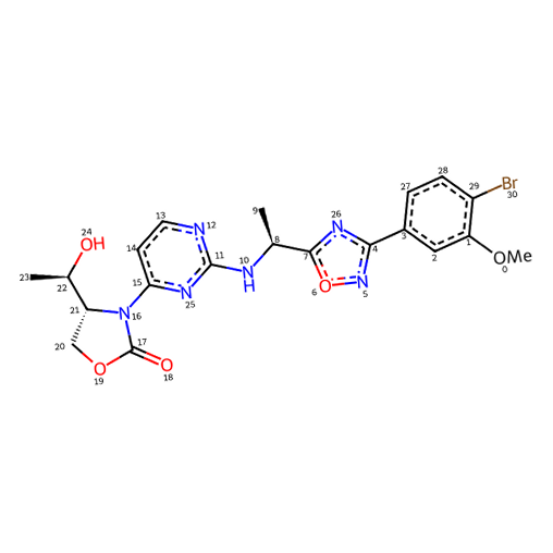 COc1cc(-c2noc([C@H](C)Nc3nccc(N4C(=O)OC[C@@H]4[C@@H](C)O)n3)n2)ccc1Br